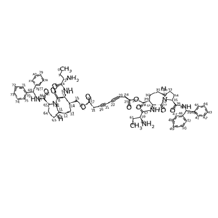 CC[C@H](N)C(=O)N[C@@H]1C(=O)N2[C@@H](CC[C@@H]1COC(=O)CC#CC#CCC(=O)OC[C@H]1CC[C@H]3CC[C@@H](C(=O)NC(c4ccccc4)c4ccccc4)N3C(=O)[C@H]1NC(=O)[C@@H](N)CC)CC[C@H]2C(=O)NC(c1ccccc1)c1ccccc1